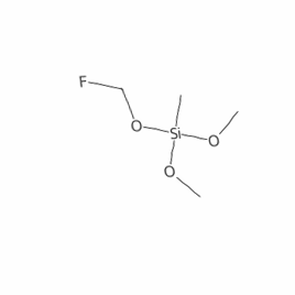 CO[Si](C)(OC)OCF